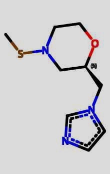 CSN1CCO[C@@H](Cn2ccnc2)C1